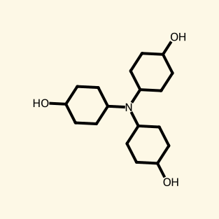 OC1CCC(N(C2CCC(O)CC2)C2CCC(O)CC2)CC1